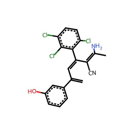 C=C(/C=C(\C(C#N)=C(\C)N)c1c(Cl)ccc(Cl)c1Cl)c1cccc(O)c1